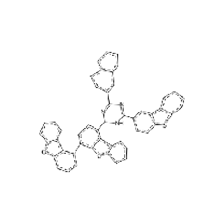 c1ccc2cc(C3=NC(c4ccc(-c5cccc6oc7ccccc7c56)c5oc6ccccc6c45)NC(c4ccc5sc6ccccc6c5c4)=N3)ccc2c1